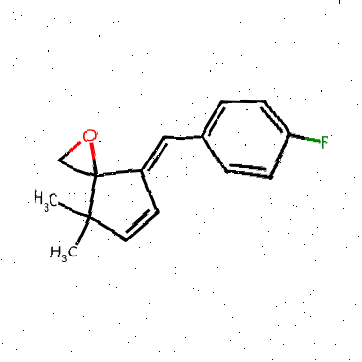 CC1(C)C=CC(=Cc2ccc(F)cc2)C12CO2